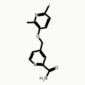 Cc1nc(I)ccc1OCc1ccnc(C(N)=O)c1